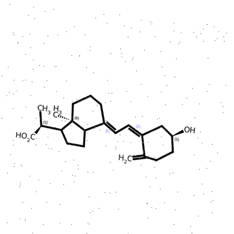 C=C1CC[C@H](O)C/C1=C/C=C1\CCC[C@@]2(C)C1CCC2[C@H](C)C(=O)O